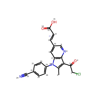 Cc1c(C(=O)CCl)c2ncc(/C=C/C(=O)O)cc2n1-c1ccc(C#N)cc1